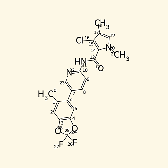 Cc1cc2c(cc1-c1ccc(NC(=O)c3c(Cl)c(C)cn3C)nc1)OC(F)(F)O2